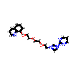 c1cnc(-[n+]2ccn(CCOCCOCCOc3cccc4cccnc34)c2)nc1